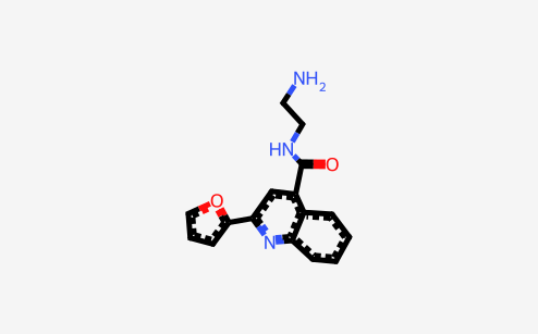 NCCNC(=O)c1cc(-c2ccco2)nc2ccccc12